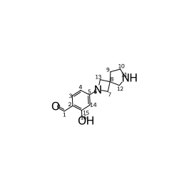 O=Cc1ccc(N2CC3(CCNC3)C2)cc1O